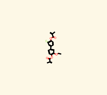 C=C(C)C(=O)Oc1ccc(-c2ccc(OC(=O)C(=C)C)c(OCC)c2)cc1F